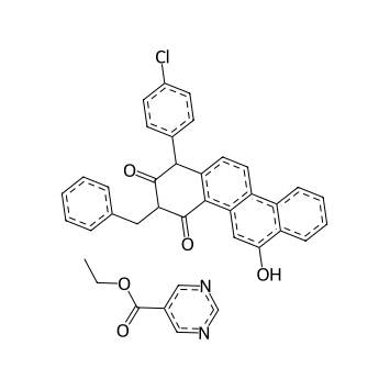 CCOC(=O)c1cncnc1.O=C1c2c(ccc3c2cc(O)c2ccccc23)C(c2ccc(Cl)cc2)C(=O)C1Cc1ccccc1